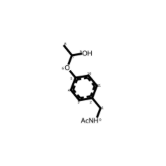 CC(=O)NCc1ccc(OC(C)O)cc1